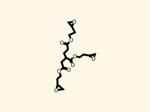 O=C(CCC(CC(=O)OCCC1CO1)C(=O)OCCC1CO1)OCCC1CO1